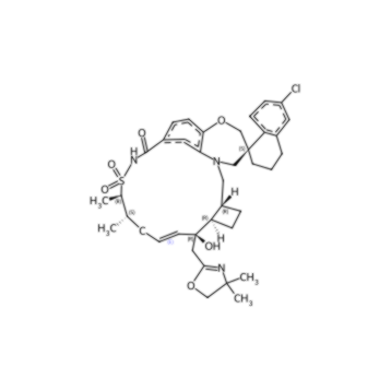 C[C@@H]1[C@@H](C)C/C=C/[C@@](O)(CC2=NC(C)(C)CO2)[C@@H]2CC[C@H]2CN2C[C@@]3(CCCc4cc(Cl)ccc43)COc3ccc(cc32)C(=O)NS1(=O)=O